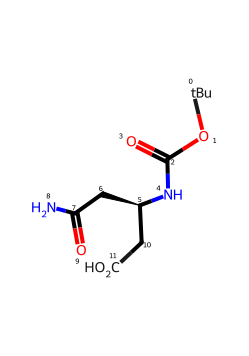 CC(C)(C)OC(=O)N[C@H](CC(N)=O)CC(=O)O